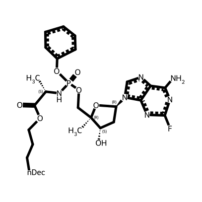 CCCCCCCCCCCCCOC(=O)[C@H](C)NP(=O)(OC[C@@]1(C)O[C@@H](n2cnc3c(N)nc(F)nc32)C[C@@H]1O)Oc1ccccc1